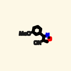 COc1cccc(-c2nocc2N=O)c1